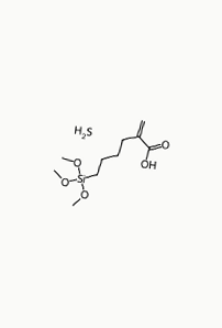 C=C(CCCC[Si](OC)(OC)OC)C(=O)O.S